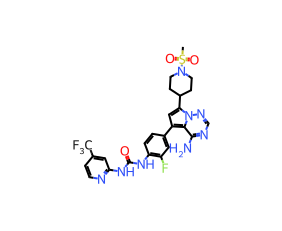 CS(=O)(=O)N1CCC(c2cc(-c3ccc(NC(=O)Nc4cc(C(F)(F)F)ccn4)c(F)c3)c3c(N)ncnn23)CC1